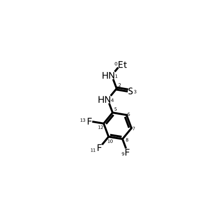 CCNC(=S)Nc1ccc(F)c(F)c1F